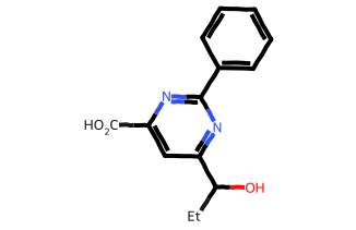 CCC(O)c1cc(C(=O)O)nc(-c2ccccc2)n1